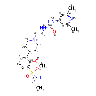 CCNS(=O)(=O)c1cccc(C2CCN(CCNC(=O)Nc3cc(C)nc(C)c3)CC2)c1OC